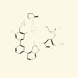 COc1cc(-c2cccc(-c3cccc4c3CC[C@@H]4Oc3nc(OC)c(CN(C)CCC(=O)O)cc3C(F)(F)F)c2Cl)cc(F)c1CNC[C@@H]1CCC(=O)N1